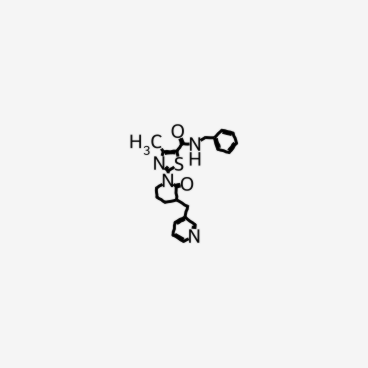 Cc1nc(N2CCCC(Cc3cccnc3)C2=O)sc1C(=O)NCc1ccccc1